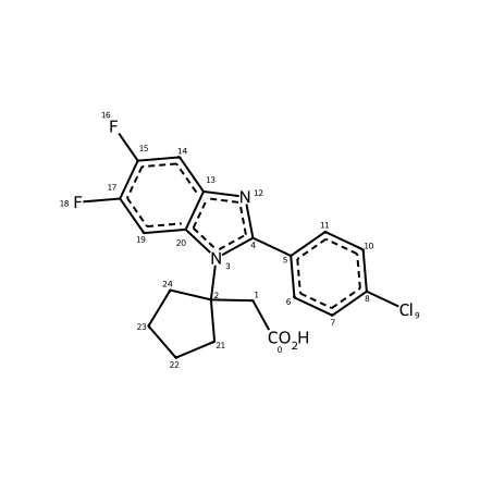 O=C(O)CC1(n2c(-c3ccc(Cl)cc3)nc3cc(F)c(F)cc32)CCCC1